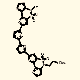 CCCCCCCCCCCCN1c2ccsc2-c2sc(-c3ccc(-c4ccc(-c5cc6c(s5)-c5sccc5N(CC)S6(=O)=O)s4)s3)cc2S1(=O)=O